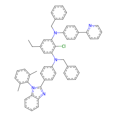 CCc1cc(N(Cc2ccccc2)c2ccc(-c3ccccn3)cc2)c(Cl)c(N(Cc2ccccc2)c2ccc(-c3nc4ccccc4n3-c3c(C)cccc3C)cc2)c1